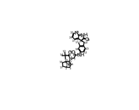 CN1C2CCC(N(CC(=O)Nc3ccc4c(c3)C[C@@]3(C4)C(=O)Nc4ncccc43)C(=O)C(C)(C)C)C1CC2